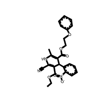 CCOC(=O)C1=C(C#N)NC(C)=C(C(=O)OCCOc2ccccc2)C1c1ccccc1[N+](=O)[O-]